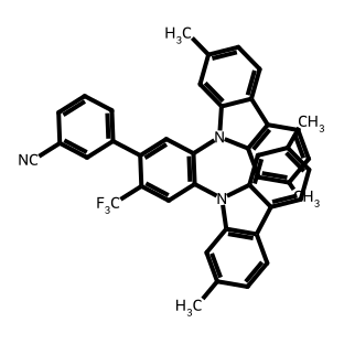 Cc1ccc2c3ccc(C)cc3n(-c3cc(-c4cccc(C#N)c4)c(C(F)(F)F)cc3-n3c4cc(C)ccc4c4ccc(C)cc43)c2c1